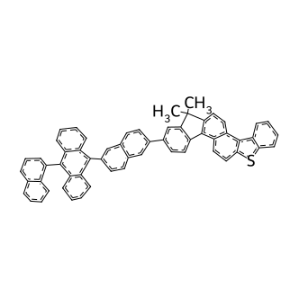 CC1(C)c2cc(-c3ccc4cc(-c5c6ccccc6c(-c6cccc7ccccc67)c6ccccc56)ccc4c3)ccc2-c2c1ccc1c2ccc2sc3ccccc3c21